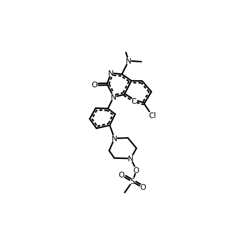 CN(C)c1nc(=O)n(-c2cccc(N3CCN(OS(C)(=O)=O)CC3)c2)c2cc(Cl)ccc12